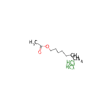 C.CCCCCCOC(C)=O.Cl.Cl